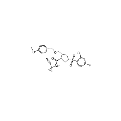 COc1ccc(COC[C@@H]2C[C@H](S(=O)(=O)c3ccc(F)cc3Cl)C[C@H]2C(=O)NC2(C#N)CC2)cc1